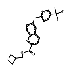 O=C(NCC1CSC1)c1ccc2cc(Oc3ccc(C(F)(F)F)cn3)ccc2n1